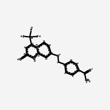 NC(=O)c1ccc(COc2ccc3c(C(F)(F)F)cc(=O)oc3c2)cc1